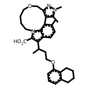 Cc1ccc2c(C(C)CCOc3cccc4c3CCCC4)c(C(=O)O)n3c2c1-c1c(nn(C)c1C)COCCCC3